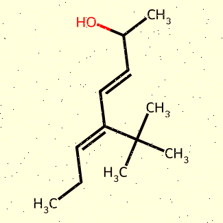 CC/C=C(/C=C/C(C)O)C(C)(C)C